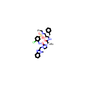 CC[C@H](C)[C@@H](C(=O)N[C@@H](Cc1ccccc1)[C@@H](O)CN(CC(C)C)S(=O)(=O)c1ccc(Cl)c(N)c1)N1CCN(Cc2nc3ccccc3n2C)C1=O